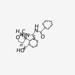 C[C@@H]1OC[C@@H](CO)[C@]1(NC(=S)NC(=O)c1ccccc1)c1ccccc1F